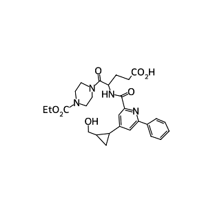 CCOC(=O)N1CCN(C(=O)C(CCC(=O)O)NC(=O)c2cc(C3CC3CO)cc(-c3ccccc3)n2)CC1